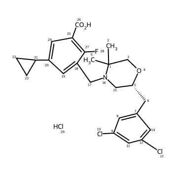 CC1(C)CO[C@H](Cc2cc(Cl)cc(Cl)c2)CN1Cc1cc(C2CC2)cc(C(=O)O)c1F.Cl